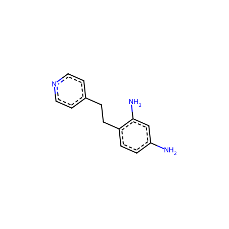 Nc1ccc(CCc2ccncc2)c(N)c1